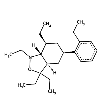 CCc1ccccc1[C@@H]1C[C@H](CC)[C@@H]2[C@@H](C1)C(CC)(CC)ON2CC